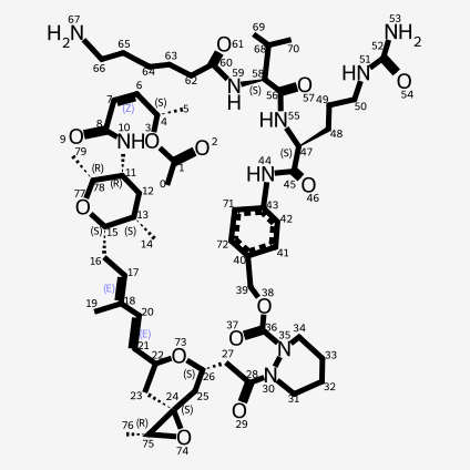 CC(=O)O[C@@H](C)/C=C\C(=O)N[C@@H]1C[C@H](C)[C@H](C/C=C(C)/C=C/C2C[C@]3(C[C@@H](CC(=O)N4CCCCN4C(=O)OCc4ccc(NC(=O)[C@H](CCCNC(N)=O)NC(=O)[C@@H](NC(=O)CCCCCN)C(C)C)cc4)O2)O[C@@H]3C)O[C@@H]1C